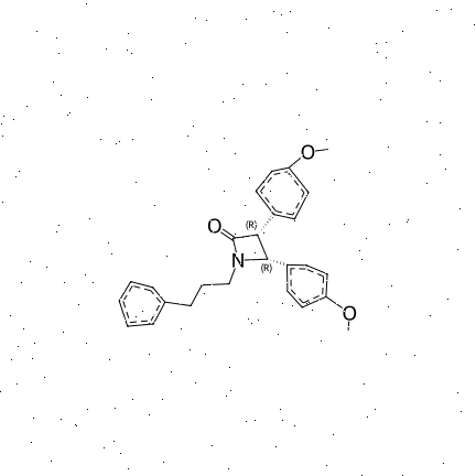 COc1ccc([C@H]2C(=O)N(CCCc3ccccc3)[C@H]2c2ccc(OC)cc2)cc1